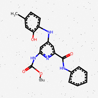 Cc1ccc(Nc2cc(NC(=O)OC(C)(C)C)nc(C(=O)Nc3ccccc3)c2)c(O)c1